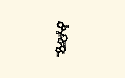 O=C(c1c[nH]c2cnccc12)N1CCC[C@@H]2[C@H]1CCN2c1ncnc2[nH]ccc12